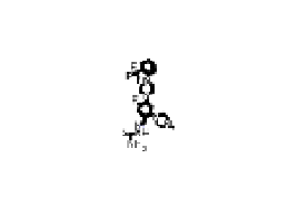 CN1CCN(c2cc(N3CCN(c4ccccc4C(F)(F)F)CC3)c(F)cc2/C=N/NC(N)=S)CC1